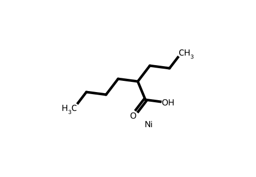 CCCCC(CCC)C(=O)O.[Ni]